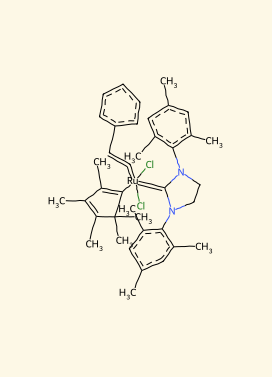 CC1=C(C)C(C)(C)[C]([Ru]([Cl])([Cl])(=[C]=Cc2ccccc2)=[C]2N(c3c(C)cc(C)cc3C)CCN2c2c(C)cc(C)cc2C)=C1C